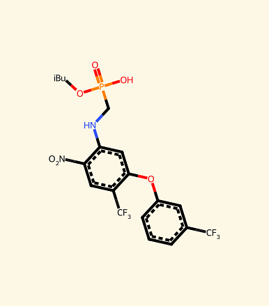 CCC(C)OP(=O)(O)CNc1cc(Oc2cccc(C(F)(F)F)c2)c(C(F)(F)F)cc1[N+](=O)[O-]